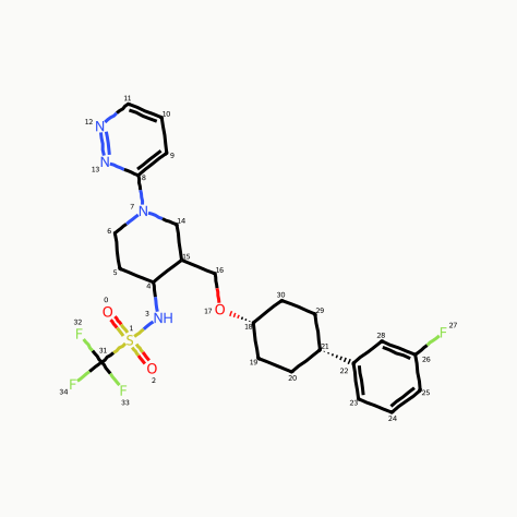 O=S(=O)(NC1CCN(c2cccnn2)CC1CO[C@H]1CC[C@@H](c2cccc(F)c2)CC1)C(F)(F)F